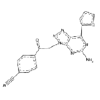 N#Cc1ccc(C(=O)Cn2nnc3c(-c4ccco4)nc(N)nc32)cc1